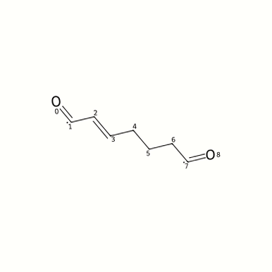 O=[C]C=CCCC[C]=O